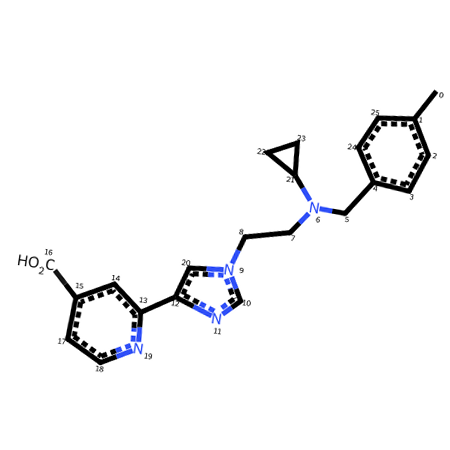 Cc1ccc(CN(CCn2cnc(-c3cc(C(=O)O)ccn3)c2)C2CC2)cc1